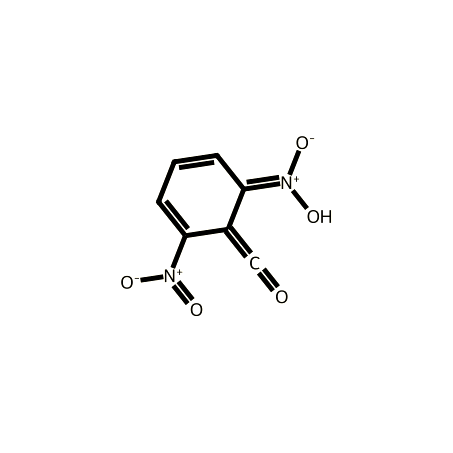 O=C=C1C([N+](=O)[O-])=CC=C/C1=[N+](\[O-])O